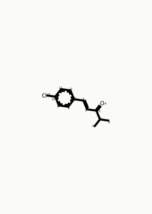 CC(C)C(=O)/C=C/c1ccc(Cl)cc1